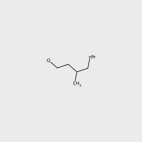 CCCCC(C)CC[O]